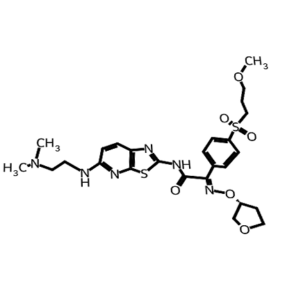 COCCCS(=O)(=O)c1ccc(/C(=N\O[C@@H]2CCOC2)C(=O)Nc2nc3ccc(NCCN(C)C)nc3s2)cc1